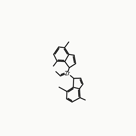 C[CH]=[Zr]([CH]1C=Cc2c(C)ccc(C)c21)[CH]1C=Cc2c(C)ccc(C)c21